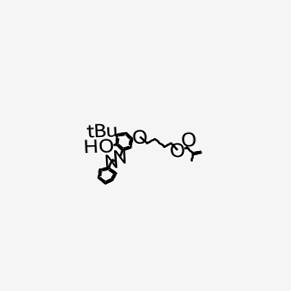 C=C(C)C(=O)OCCCCOc1cc(N=Nc2ccccc2)c(O)c(C(C)(C)C)c1